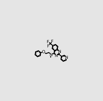 CN(CCOc1ccccc1)c1nc(-c2cccnc2)nc2ccc(C(F)(F)F)cc12